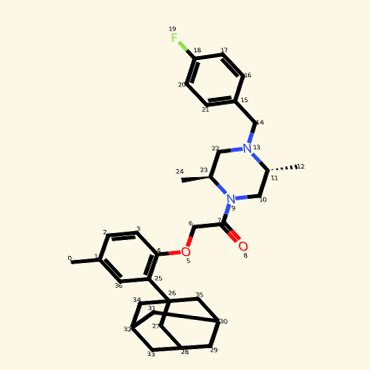 Cc1ccc(OCC(=O)N2C[C@@H](C)N(Cc3ccc(F)cc3)C[C@@H]2C)c(C23CC4CC(CC(C4)C2)C3)c1